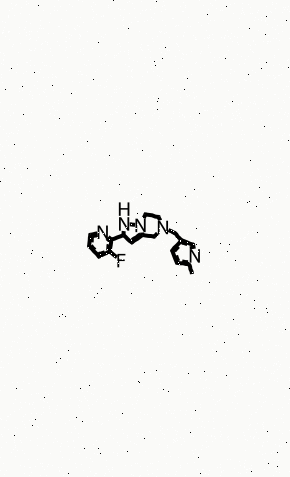 Cc1ccc(CN2CCN3NC(c4ncccc4F)C=C3C2)cn1